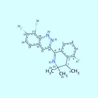 CC1c2c(F)cccc2C(c2cc3ccc(F)c(F)c3nn2)=NC1(C)C